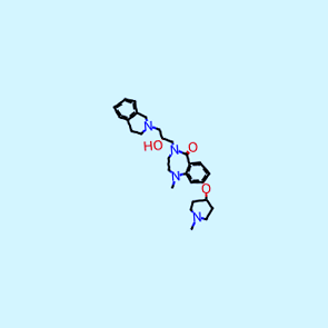 CN1CCC(Oc2ccc3c(c2)N(C)CCN(CC(O)CN2CCc4ccccc4C2)C3=O)CC1